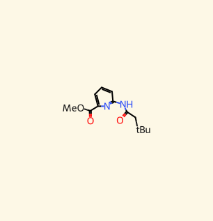 COC(=O)c1cccc(NC(=O)CC(C)(C)C)n1